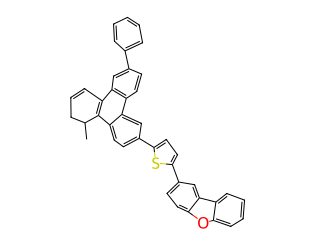 CC1CC=Cc2c1c1ccc(-c3ccc(-c4ccc5oc6ccccc6c5c4)s3)cc1c1ccc(-c3ccccc3)cc21